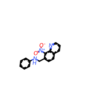 O=[N+]([O-])c1c(CNc2ccccc2)ccc2cccnc12